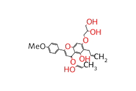 C=CCc1c(OCC(O)CO)cc2oc(-c3ccc(OC)cc3)cc(=O)c2c1O.CC=CO